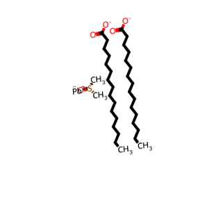 CCCCCCCCCCCCCCCC(=O)[O-].CCCCCCCCCCCCCCCC(=O)[O-].CS(C)=O.[Pb+2]